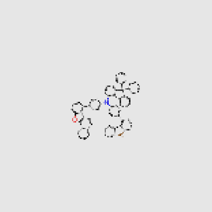 c1ccc(C2(c3ccccc3)c3ccccc3-c3c(N(c4ccc(-c5cccc6oc7c8ccccc8ccc7c56)cc4)c4ccc(-c5cccc6sc7ccccc7c56)cc4)cccc32)cc1